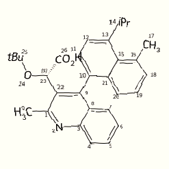 Cc1nc2ccccc2c(-c2ccc(C(C)C)c3c(C)cccc23)c1[C@H](OC(C)(C)C)C(=O)O